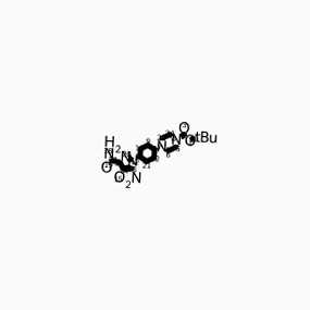 CC(C)(C)OC(=O)N1CCN([C@H]2CC[C@H](n3cc([N+](=O)[O-])c(C(N)=O)n3)CC2)CC1